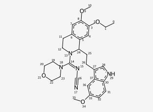 CCOc1cc2c(cc1OC)CCN(C(=NC#N)N1CCOCC1)C2CCc1c[nH]c2ccc(OC)cc12